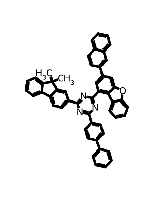 CC1(C)c2ccccc2-c2ccc(-c3nc(-c4ccc(-c5ccccc5)cc4)nc(-c4cc(-c5ccc6ccccc6c5)cc5oc6ccccc6c45)n3)cc21